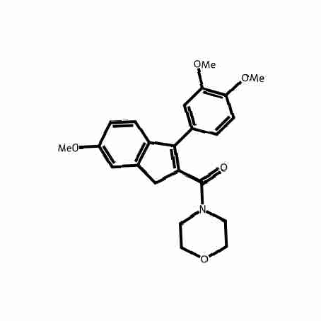 COc1ccc2c(c1)CC(C(=O)N1CCOCC1)=C2c1ccc(OC)c(OC)c1